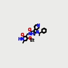 CCOc1cc(C)[nH]c(=O)c1CNC(=O)c1c(C)n(C(C)c2ccccc2)c2cnccc12